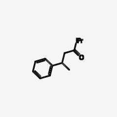 CC(C)C(=O)CC(C)c1ccccc1